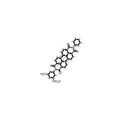 Cc1cc(N2C(=O)c3ccc4c5ccc6c7c(ccc(c8ccc(c3c48)C2=O)c75)C(=O)N(c2ccccc2)C6=O)cc(S(=O)(=O)O)c1